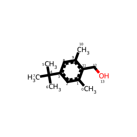 Cc1cc(C(C)(C)C)cc(C)c1CO